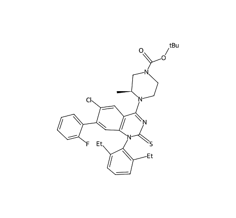 CCc1cccc(CC)c1-n1c(=S)nc(N2CCN(C(=O)OC(C)(C)C)C[C@@H]2C)c2cc(Cl)c(-c3ccccc3F)cc21